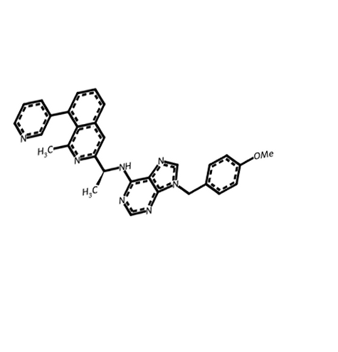 COc1ccc(Cn2cnc3c(N[C@@H](C)c4cc5cccc(-c6cccnc6)c5c(C)n4)ncnc32)cc1